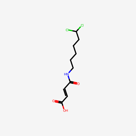 O=C(O)C=CC(=O)NCCCCCC(Cl)Cl